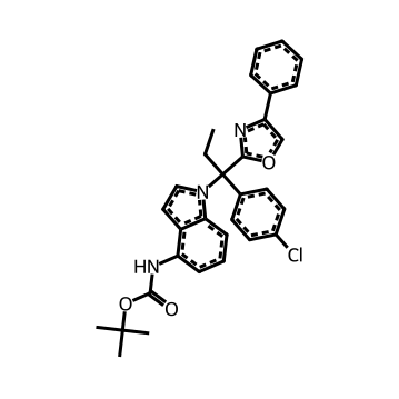 CCC(c1ccc(Cl)cc1)(c1nc(-c2ccccc2)co1)n1ccc2c(NC(=O)OC(C)(C)C)cccc21